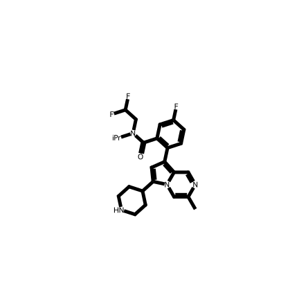 Cc1cn2c(C3CCNCC3)cc(-c3ccc(F)cc3C(=O)N(CC(F)F)C(C)C)c2cn1